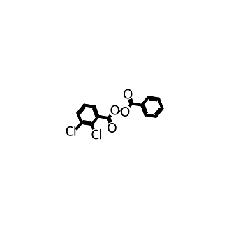 O=C(OOC(=O)c1cccc(Cl)c1Cl)c1ccccc1